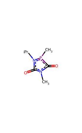 CC(C)n1c(=O)n(C)c(=O)p1C